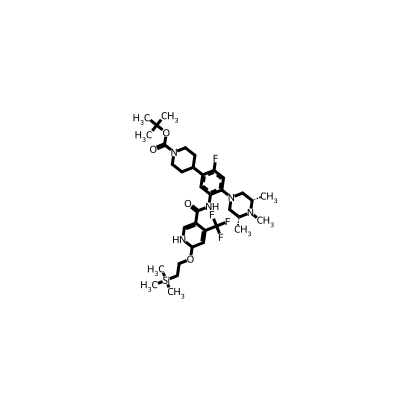 C[C@@H]1CN(c2cc(F)c(C3CCN(C(=O)OC(C)(C)C)CC3)cc2NC(=O)C2=CNC(OCC[Si](C)(C)C)C=C2C(F)(F)F)C[C@H](C)N1C